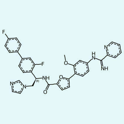 COc1cc(NC(=N)c2ccccn2)ccc1-c1ccc(C(=O)N[C@@H](Cn2ccnc2)c2ccc(-c3ccc(F)cc3)cc2F)o1